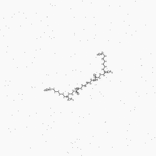 CCCCCCCCCCCCCCCCN(C)CCCC(=O)NCCSSCCNC(=O)CCCN(C)CCCCCCCCCCCCCCCC